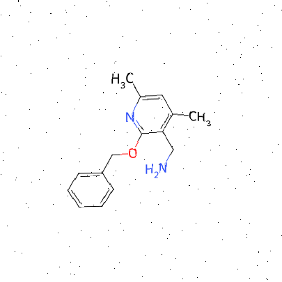 Cc1cc(C)c(CN)c(OCc2ccccc2)n1